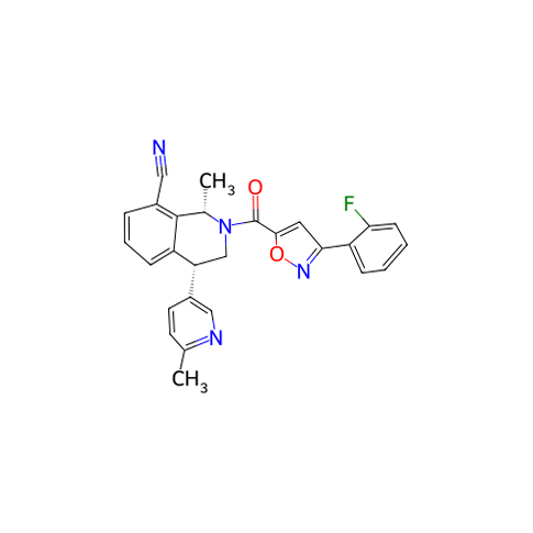 Cc1ccc([C@H]2CN(C(=O)c3cc(-c4ccccc4F)no3)[C@@H](C)c3c(C#N)cccc32)cn1